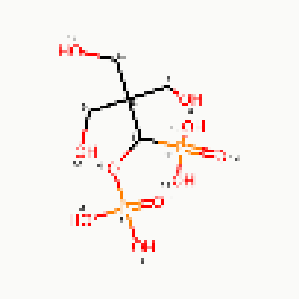 O=P(O)(O)OC(C(CO)(CO)CO)P(=O)(O)O